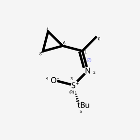 C/C(=N/[S@@+]([O-])C(C)(C)C)C1CC1